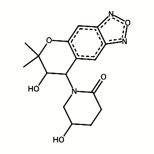 CC1(C)Oc2cc3nonc3cc2C(N2CC(O)CCC2=O)C1O